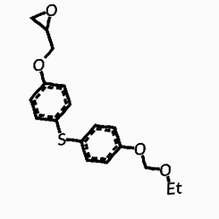 CCOCOc1ccc(Sc2ccc(OCC3CO3)cc2)cc1